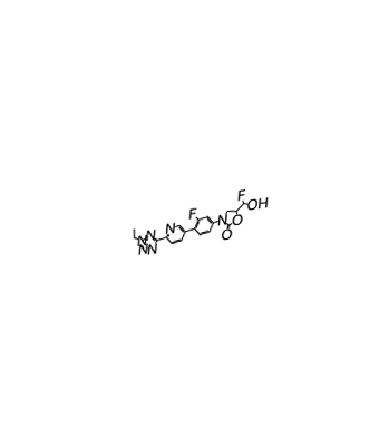 CCn1nnc(-c2ccc(-c3ccc(N4CC(C(O)F)OC4=O)cc3F)cn2)n1